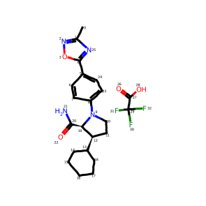 Cc1noc(-c2ccc(N3CC[C@@H](C4CCCCC4)[C@H]3C(N)=O)cc2)n1.O=C(O)C(F)(F)F